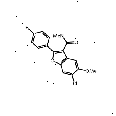 CNC(=O)c1c(-c2ccc(F)cc2)oc2cc(Cl)c(OC)cc12